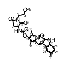 COCCN1C(=O)C[C@H](NC(=O)Oc2c(C)[nH]c(/C=C3\C(=O)Nc4ccc(F)cc43)c2C)C1=O